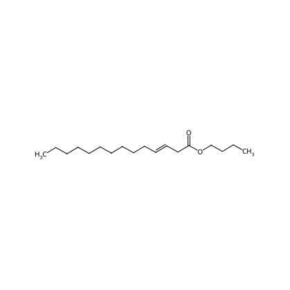 CCCCCCCCCCC=CCC(=O)OCCCC